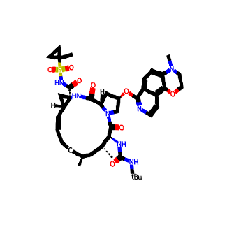 C[C@H]1CCC=C[C@@H]2C[C@@]2(C(=O)NS(=O)(=O)C2(C)CC2)NC(=O)[C@@H]2C[C@@H](Oc3nccc4c5c(ccc34)N(C)CCO5)CN2C(=O)[C@@H](NC(=O)NC(C)(C)C)[C@H](C)C1